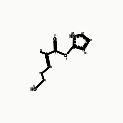 CC(=CCCO)C(=O)Oc1ncc[nH]1